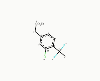 CCOC(=O)Cc1ccc(C(C)(F)F)c(Cl)c1